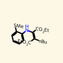 CCCCC(C(=O)OCC)=C(Nc1ccccc1SC)C(=O)OCC